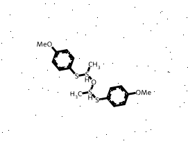 COc1ccc(S[SH](C)O[SH](C)Sc2ccc(OC)cc2)cc1